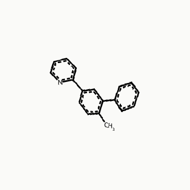 Cc1ccc(-c2ccccn2)cc1-c1ccccc1